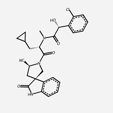 CN(C(=O)[C@H](O)c1ccccc1Cl)[C@@H](CC1CC1)C(=O)N1C[C@]2(C[C@H]1C#N)C(=O)Nc1ccccc12